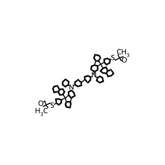 CCC1(CSc2ccc(C3(c4ccc5ccccc5c4)c4ccccc4-c4ccc(N(c5ccccc5)c5ccc(-c6ccc(N(c7ccccc7)c7ccc8c(c7)C(c7ccc(SCC9(CC)COC9)cc7)(c7ccc9ccccc9c7)c7ccccc7-8)cc6)cc5)cc43)cc2)COC1